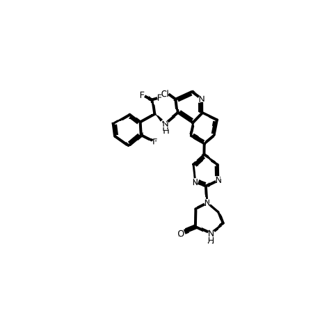 O=C1CN(c2ncc(-c3ccc4ncc(Cl)c(N[C@@H](c5ccccc5F)C(F)F)c4c3)cn2)CCN1